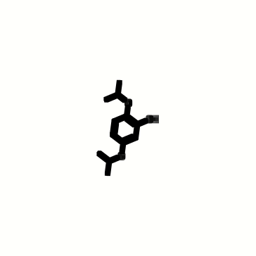 CC(C)Oc1ccc(OC(C)C)c(O)c1